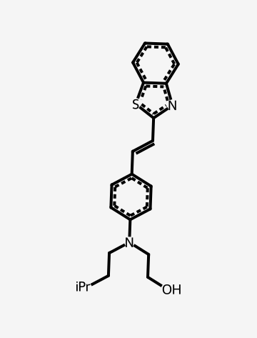 CC(C)CCN(CCO)c1ccc(/C=C/c2nc3ccccc3s2)cc1